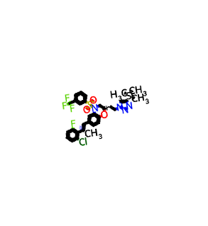 C/C(=C\c1ccc2c(c1)N(S(=O)(=O)c1cccc(C(F)(F)F)c1)C[C@H](CCn1cc([Si](C)(C)C)nn1)O2)c1c(F)cccc1Cl